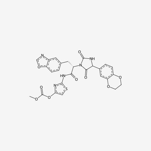 COC(=O)Oc1csc(NC(=O)[C@H](Cc2ccc3ocnc3c2)N2C(=O)NC(c3ccc4c(c3)OCCO4)C2=O)n1